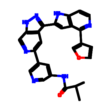 CC(C)C(=O)Nc1cncc(-c2cc3c(-c4cc5c(-c6ccoc6)nccc5[nH]4)n[nH]c3cn2)c1